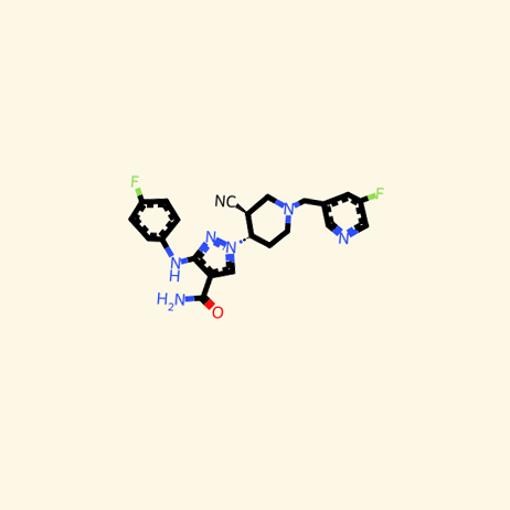 N#C[C@H]1CN(Cc2cncc(F)c2)CC[C@@H]1n1cc(C(N)=O)c(Nc2ccc(F)cc2)n1